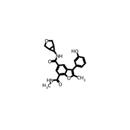 CNC(=O)c1cc(C(=O)NC2C3COCC32)cc2c(-c3cccc(O)c3)c(C)oc12